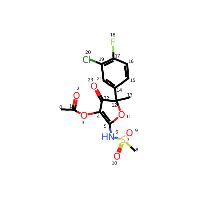 CC(=O)OC1=C(NS(C)(=O)=O)OC(C)(c2ccc(F)c(Cl)c2)C1=O